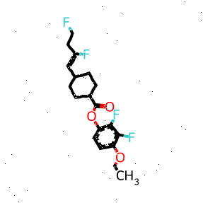 CCOc1ccc(OC(=O)C2CCC(/C=C(\F)CCF)CC2)c(F)c1F